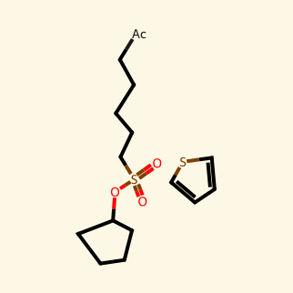 CC(=O)CCCCCS(=O)(=O)OC1CCCC1.c1ccsc1